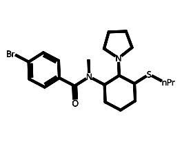 CCCSC1CCCC(N(C)C(=O)c2ccc(Br)cc2)C1N1CCCC1